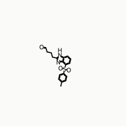 Cc1ccc(S(=O)(=O)c2cccc3[nH]c(CCCC=O)nc23)cc1